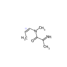 C/C=C\N(C)C(=O)C(C)=N